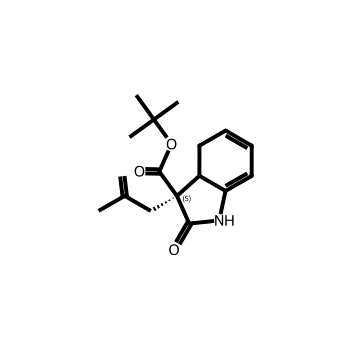 C=C(C)C[C@@]1(C(=O)OC(C)(C)C)C(=O)NC2=CC=CCC21